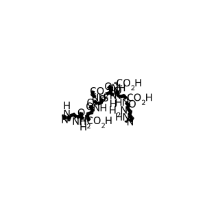 NC(Cc1cnc[nH]1)C(=O)NC(CCC(=O)NC(CSSCC(NC(=O)CCC(NC(=O)C(N)Cc1cnc[nH]1)C(=O)O)C(=O)NCC(=O)O)C(=O)NCC(=O)O)C(=O)O